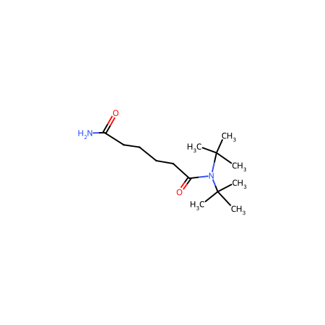 CC(C)(C)N(C(=O)CCCCC(N)=O)C(C)(C)C